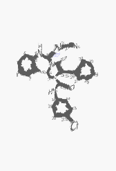 N#C/N=C(/Nc1ccccc1)N1CCN(C(=O)Nc2ccc(Cl)cc2)C(c2ccccc2)C1